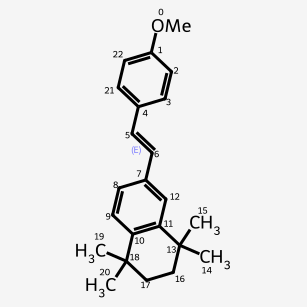 COc1ccc(/C=C/c2ccc3c(c2)C(C)(C)CCC3(C)C)cc1